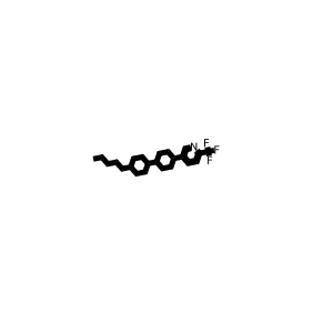 CCCCCC1CCC(C2CCC(c3ccc(C(F)(F)F)nc3)CC2)CC1